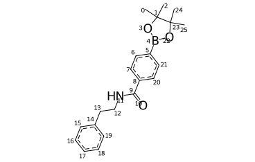 CC1(C)OB(c2ccc(C(=O)NCCc3ccccc3)cc2)OC1(C)C